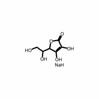 O=C1O[C](C(O)CO)C(O)=C1O.[NaH]